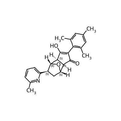 Cc1cc(C)c(C2=C(O)[C@@H]3[C@@H]4O[C@@H](C[C@H]4c4cccc(C)n4)[C@@H]3C2=O)c(C)c1